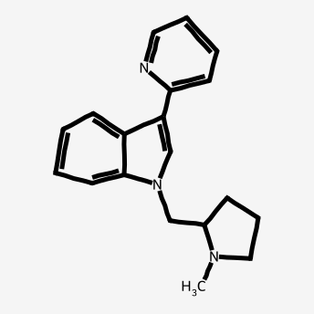 CN1CCCC1Cn1cc(-c2ccccn2)c2ccccc21